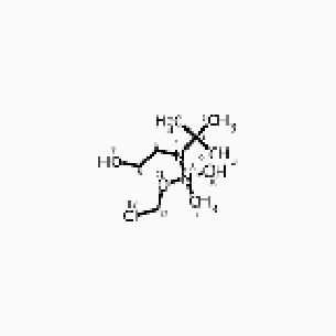 CC(C)(C)N(CCO)[N+](C)(O)OCCl